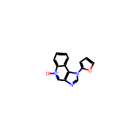 [O-][n+]1cc2ncn(-c3ccco3)c2c2ccccc21